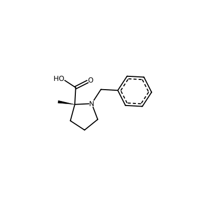 C[C@]1(C(=O)O)CCCN1Cc1ccccc1